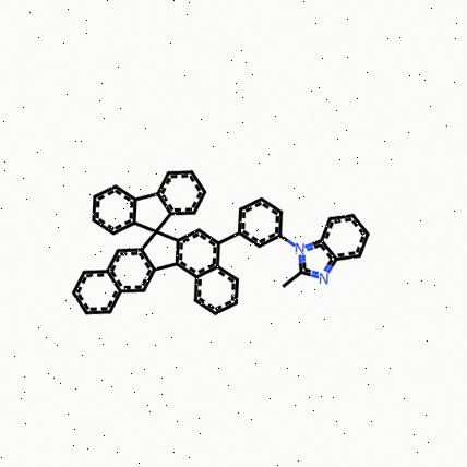 Cc1nc2ccccc2n1-c1cccc(-c2cc3c(c4ccccc24)-c2cc4ccccc4cc2C32c3ccccc3-c3ccccc32)c1